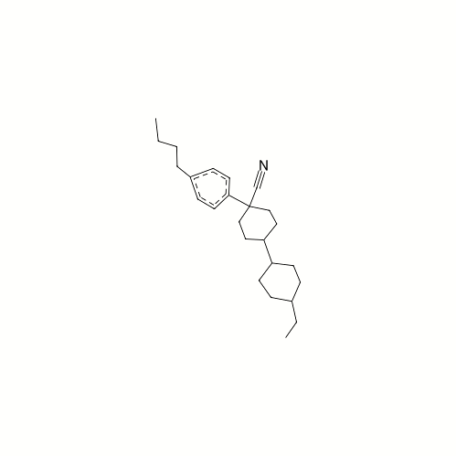 CCCCc1ccc(C2(C#N)CCC(C3CCC(CC)CC3)CC2)cc1